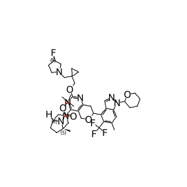 Cc1cc2c(cnn2C2CCCCO2)c(C2Cc3nc(OCC4(CN5CC[C@@H](F)C5)CC4)nc(N4C[C@H]5CC[C@@](C)(C4)N5C(=O)OC(C)(C)C)c3CO2)c1C(F)(F)F